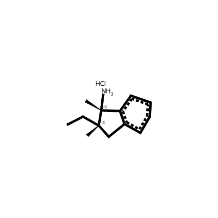 CC[C@@]1(C)Cc2ccccc2[C@@]1(C)N.Cl